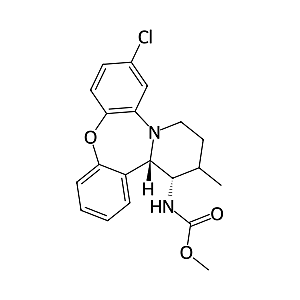 COC(=O)N[C@H]1C(C)CCN2c3cc(Cl)ccc3Oc3ccccc3[C@@H]12